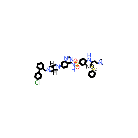 CN(C)CCC(CSc1ccccc1)Nc1ccc(S(=O)(=O)Nc2ncnc3cc(N4C[C@H]5CN(Cc6ccccc6-c6ccc(Cl)cc6)C[C@H]5C4)ccc23)cc1[N+](=O)[O-]